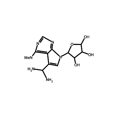 CNc1ncnc2c1c(C(N)N)cn2C1OC(O)C(O)C1O